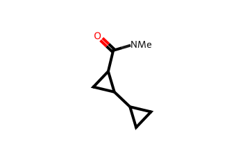 CNC(=O)C1CC1C1CC1